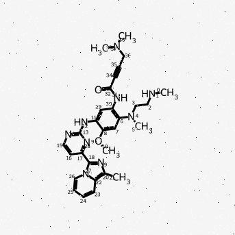 CNCCN(C)c1cc(OC)c(Nc2nccc(-c3nc(C)c4ccccn34)n2)cc1NC(=O)C#CCN(C)C